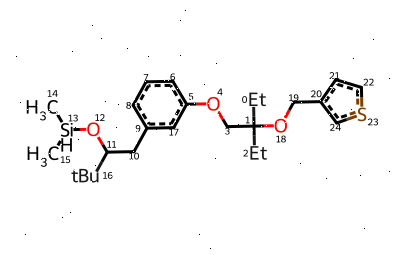 CCC(CC)(COc1cccc(CC(O[SiH](C)C)C(C)(C)C)c1)OCc1ccsc1